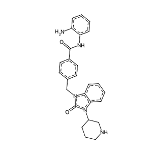 Nc1ccccc1NC(=O)c1ccc(Cn2c(=O)n(C3CCCNC3)c3ccccc32)cc1